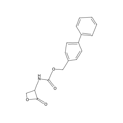 O=C(NC1COC1=O)OCc1ccc(-c2ccccc2)cc1